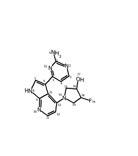 Nc1nccc(-c2c[nH]c3nccc(N4CC(O)C(F)C4)c23)n1